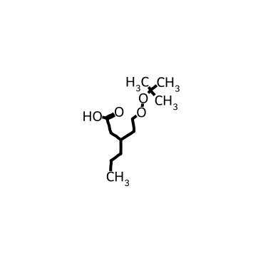 CCCC(CCOOC(C)(C)C)CC(=O)O